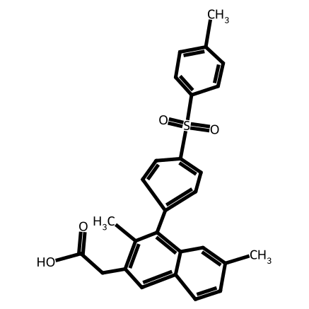 Cc1ccc(S(=O)(=O)c2ccc(-c3c(C)c(CC(=O)O)cc4ccc(C)cc34)cc2)cc1